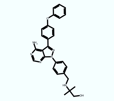 CC(C)(CO)NCc1ccc(-n2nc(-c3ccc(Oc4ccccc4)cc3)c3c(N)ncnc32)cc1